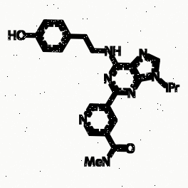 CNC(=O)c1cncc(-c2nc(NCCc3ccc(O)cc3)c3ncn(C(C)C)c3n2)c1